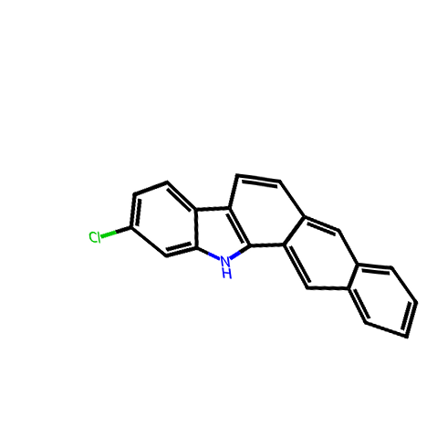 Clc1ccc2c(c1)[nH]c1c3cc4ccccc4cc3ccc21